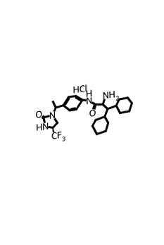 CC(c1ccc(NC(=O)C(N)C(C2CCCCC2)C2CCCCC2)cc1)N1C[C@@H](C(F)(F)F)NC1=O.Cl